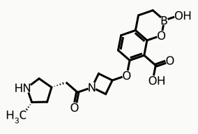 C[C@H]1C[C@@H](CC(=O)N2CC(Oc3ccc4c(c3C(=O)O)OB(O)CC4)C2)CN1